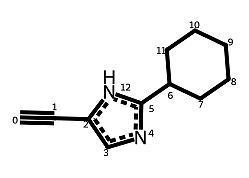 C#Cc1cnc(C2CCCCC2)[nH]1